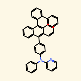 c1ccc(-c2ccccc2-c2c3ccccc3c(-c3ccc(N(c4ccccc4)c4ccccn4)cc3)c3ccccc23)cc1